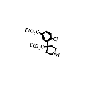 CCOC(=O)c1cccc(C2(C(=O)OCC)CCNCC2)c1.Cl